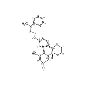 CC(CCOc1ccc2c(c1)=C1C(O)=CC(=O)CN1[C@H]1CCCCC=21)c1ccccc1